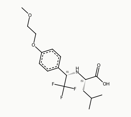 COCCOc1ccc([C@H](N[C@@H](CC(C)C)C(=O)O)C(F)(F)F)cc1